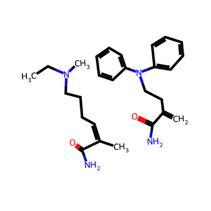 C=C(CCN(c1ccccc1)c1ccccc1)C(N)=O.CCN(C)CCCC=C(C)C(N)=O